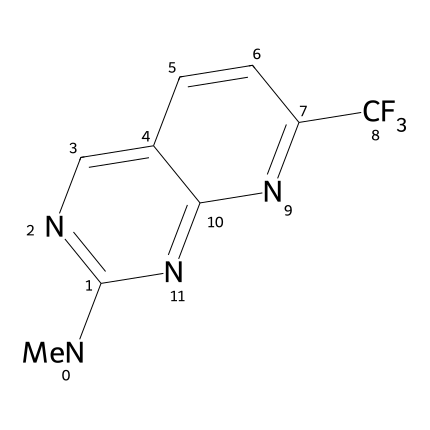 CNc1ncc2ccc(C(F)(F)F)nc2n1